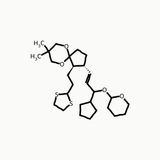 CC1(C)COC2(CC[C@H](C=CC(OC3CCCCO3)C3CCCC3)[C@H]2CCC2SCCS2)OC1